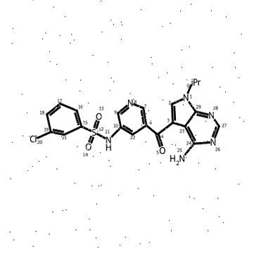 CC(C)n1cc(C(=O)c2cncc(NS(=O)(=O)c3cccc(Cl)c3)c2)c2c(N)ncnc21